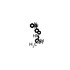 C=C1CCC(CNC2CCc3cc(-n4nnc5ccccc54)ccc32)NN1